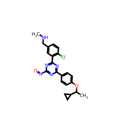 CNCc1ccc(Cl)c(-c2nc(N=O)nc(-c3ccc(OC(C)C4CC4)cc3)n2)c1